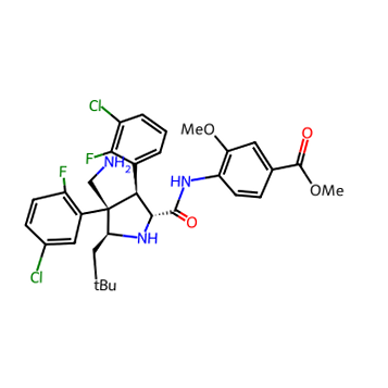 COC(=O)c1ccc(NC(=O)[C@@H]2N[C@@H](CC(C)(C)C)[C@](CN)(c3cc(Cl)ccc3F)[C@H]2c2cccc(Cl)c2F)c(OC)c1